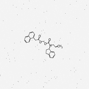 C=CCN(C(=O)OCOC(=O)Cc1cccc2ccccc12)[C@@H]1CCc2ccccc21